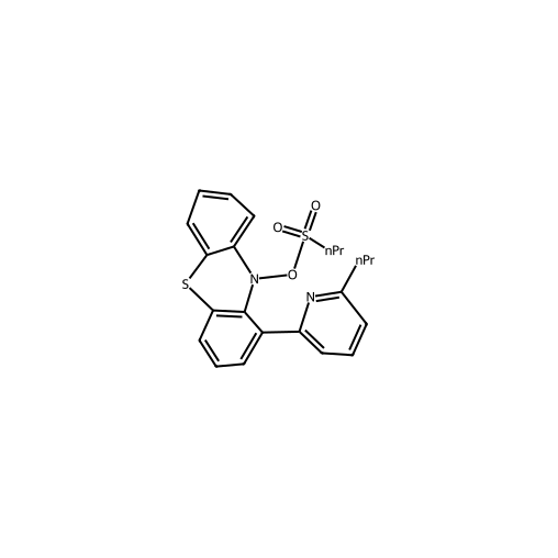 CCCc1cccc(-c2cccc3c2N(OS(=O)(=O)CCC)c2ccccc2S3)n1